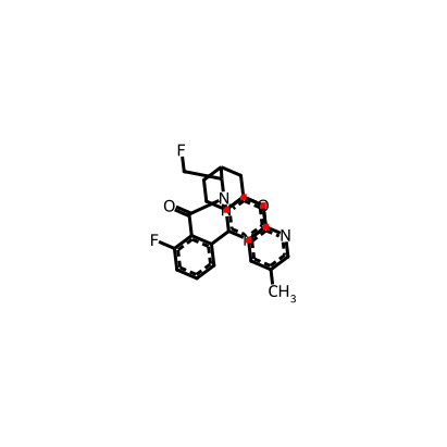 Cc1ccc(OC2CC3CCC2N(C(=O)c2c(F)cccc2-c2ncccn2)C3CF)nc1